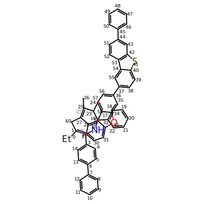 CC/C1=C(\c2ccc(-c3ccccc3)cc2)NC(c2ccccc2)C(C)/C(C)=C(\c2cccc3oc4cc(-c5ccc6sc7cc(-c8ccccc8)ccc7c6c5)ccc4c23)C1